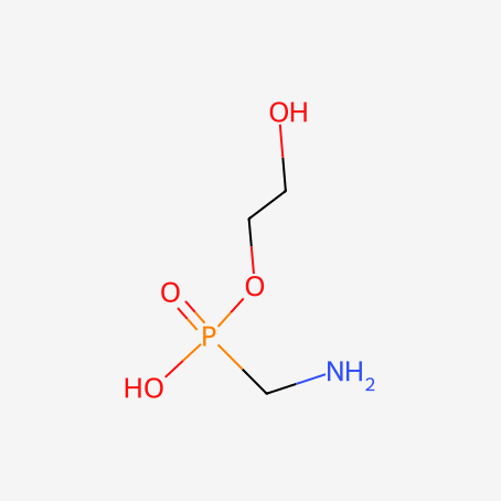 NCP(=O)(O)OCCO